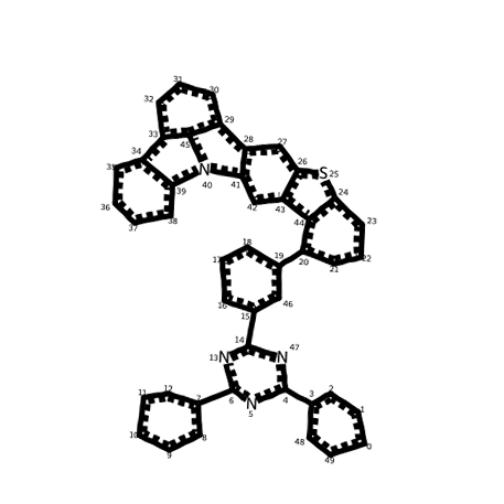 c1ccc(-c2nc(-c3ccccc3)nc(-c3cccc(-c4cccc5sc6cc7c8cccc9c%10ccccc%10n(c7cc6c45)c98)c3)n2)cc1